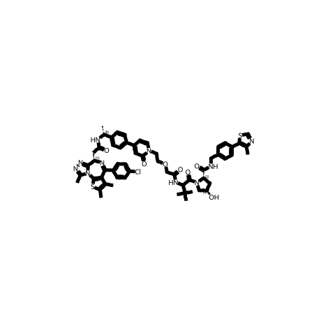 Cc1ncsc1-c1ccc(CNC(=O)[C@@H]2C[C@@H](O)CN2C(=O)C(NC(=O)COCCn2ccc(-c3ccc([C@@H](C)NC(=O)C[C@@H]4N=C(c5ccc(Cl)cc5)c5c(sc(C)c5C)-n5c(C)nnc54)cc3)cc2=O)C(C)(C)C)cc1